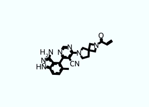 C=CC(=O)N1CC2(CCN(c3ncnc(-c4c(C)ccc5[nH]nc(N)c45)c3C#N)C2)C1